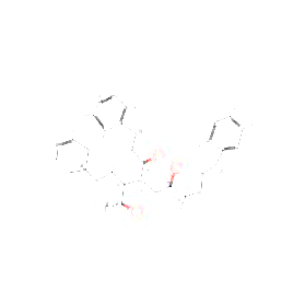 C/C=C\CC(C)CCC(C(=O)CC)C(CC(=O)C(C)CCCc1ccccc1)C(=O)CCc1ccccc1